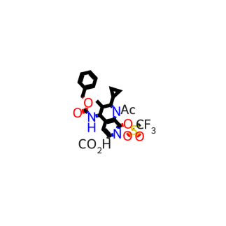 CC(=O)N1c2c(cc(C(=O)O)nc2OS(=O)(=O)C(F)(F)F)C(NC(=O)OCc2ccccc2)C(C)C1C1CC1